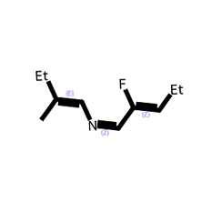 CC/C=C(F)/C=N\C=C(/C)CC